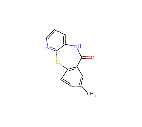 Cc1ccc2c(c1)C(=O)Nc1cccnc1S2